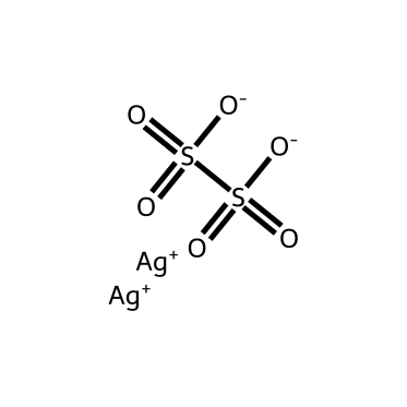 O=S(=O)([O-])S(=O)(=O)[O-].[Ag+].[Ag+]